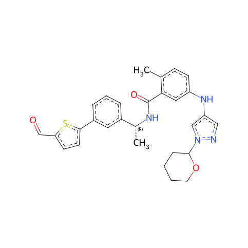 Cc1ccc(Nc2cnn(C3CCCCO3)c2)cc1C(=O)N[C@H](C)c1cccc(-c2ccc(C=O)s2)c1